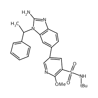 COc1ncc(-c2ccc3nc(N)n(C(C)c4ccccc4)c3c2)cc1S(=O)(=O)NC(C)(C)C